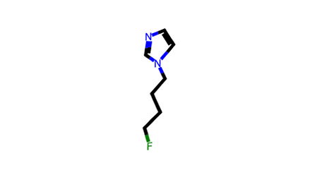 FCCCCn1ccnc1